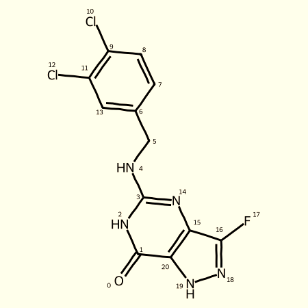 O=c1[nH]c(NCc2ccc(Cl)c(Cl)c2)nc2c(F)n[nH]c12